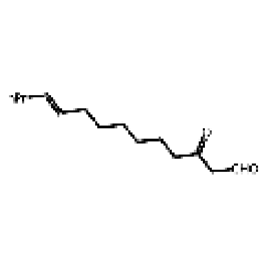 CCCC=CCCCCCCC(=O)CC=O